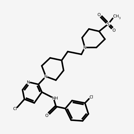 CS(=O)(=O)C1CCN(CCC2CCN(c3ncc(Cl)cc3NC(=O)c3cccc(Cl)c3)CC2)CC1